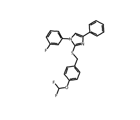 Fc1cccc(-n2cc(-c3ccccc3)nc2SCc2ccc(OC(F)F)cc2)c1